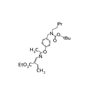 C=C/C(=C\N=C(/C)Oc1ccc(CN(CCC(C)C)C(=O)OC(C)(C)C)cc1)C(=O)OCC